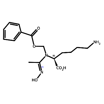 C/C(=N\O)N(COC(=O)c1ccccc1)[C@@H](CCCCN)C(=O)O